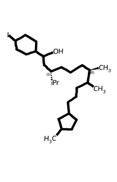 CC1CCC(CCCC(C)[C@H](C)CCC[C@@H](CC(O)C2CCC(I)CC2)C(C)C)C1